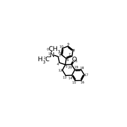 CN(C)CCC1(c2ccccc2)CCc2ccccc2C1=O